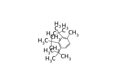 Cc1ccc(C(C)(C)C)c(C(C)(C)C)c1C(C)(C)C